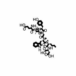 CCCC[C@@H](C(=O)N[C@@H](CC(=O)O)C(=O)O)N(C)C(=O)[C@H](Cc1c[nH]c2ccccc12)N(C)C(=O)CNC(=O)[C@H](Cc1ccc(O)cc1)NC(=O)[C@H](C)NC(=O)[C@H](N)CCC(=O)O